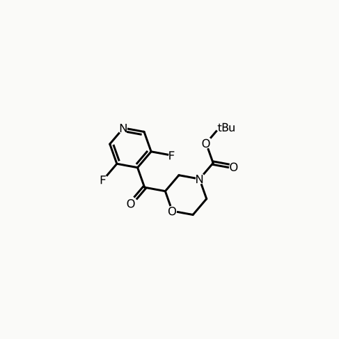 CC(C)(C)OC(=O)N1CCOC(C(=O)c2c(F)cncc2F)C1